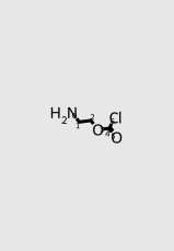 NCCOC(=O)Cl